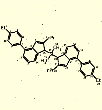 CCCC1=Cc2c(-c3ccc(CC)cc3)cccc2C1[Si](C)(C)C1C(CCC)=Cc2c(-c3ccc(CC)cc3)cccc21